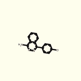 Nc1nnc(-c2ccc(Cl)cc2)c2ccccc12